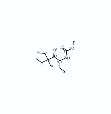 CC[C@@H](NC(=O)OC)C(=O)C(C)(CC)CC